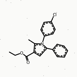 CCOC(=O)c1cc(-c2ccccc2)n(-c2ccc(Cl)cc2)c1C